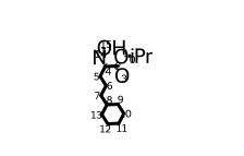 CC(C)OC(=O)/C(CCCC1CCCCC1)=N\O